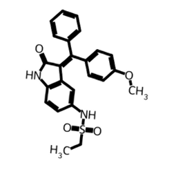 CCS(=O)(=O)Nc1ccc2c(c1)/C(=C(/c1ccccc1)c1ccc(OC)cc1)C(=O)N2